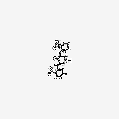 O=C1/C(=C/c2ccccc2[N+](=O)[O-])CNC/C1=C\c1ccccc1[N+](=O)[O-]